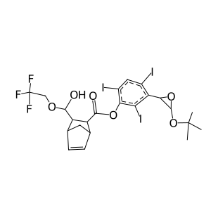 CC(C)(C)OC1OC1c1c(I)cc(I)c(OC(=O)C2C3C=CC(C3)C2C(O)OCC(F)(F)F)c1I